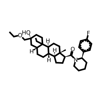 CCOC[C@@]1(O)CCC2(CC)[C@H](CC[C@@H]3[C@@H]2CC[C@]2(C)[C@@H](C(=O)N4CCCC[C@@H]4c4ccc(F)cc4)CC[C@@H]32)C1